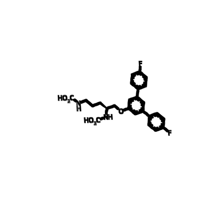 O=C(O)NCCC[C@@H](COc1cc(-c2ccc(F)cc2)cc(-c2ccc(F)cc2)c1)NC(=O)O